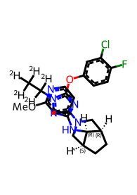 [2H]C([2H])([2H])C([2H])([2H])n1nc(N[C@H]2[C@@H]3CC[C@H]2CN(c2ccnc(OC)c2)C3)nc1Oc1ccc(F)c(Cl)c1